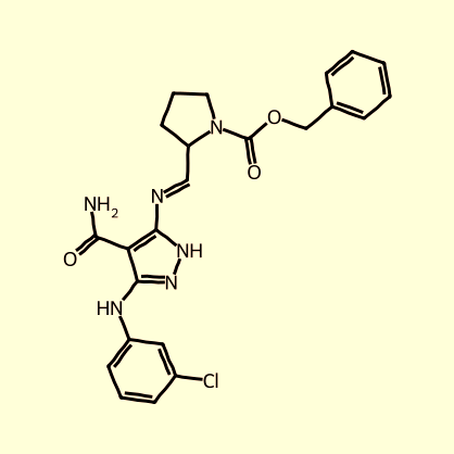 NC(=O)c1c(Nc2cccc(Cl)c2)n[nH]c1/N=C/C1CCCN1C(=O)OCc1ccccc1